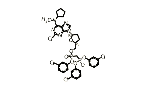 CN(c1nc(Cl)nc2c1ncn2[C@H]1CC[C@@H](COP(=O)(CP(=O)(Oc2cccc(Cl)c2)Oc2cccc(Cl)c2)Oc2cccc(Cl)c2)O1)C1CCCC1